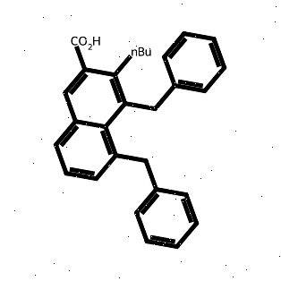 CCCCc1c(C(=O)O)cc2cccc(Cc3ccccc3)c2c1Cc1ccccc1